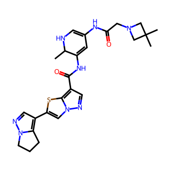 CC1NC=C(NC(=O)CN2CC(C)(C)C2)C=C1NC(=O)c1cnn2cc(-c3cnn4c3CCC4)sc12